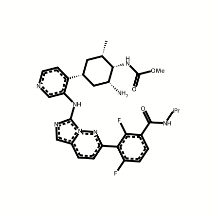 COC(=O)N[C@@H]1[C@H](N)C[C@H](c2ccncc2Nc2ncc3ccc(-c4c(F)ccc(C(=O)NC(C)C)c4F)nn23)C[C@@H]1C